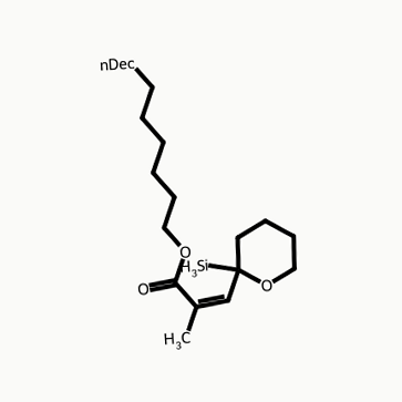 CCCCCCCCCCCCCCCCOC(=O)C(C)=CC1([SiH3])CCCCO1